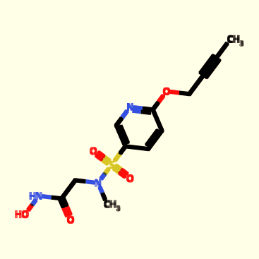 CC#CCOc1ccc(S(=O)(=O)N(C)CC(=O)NO)cn1